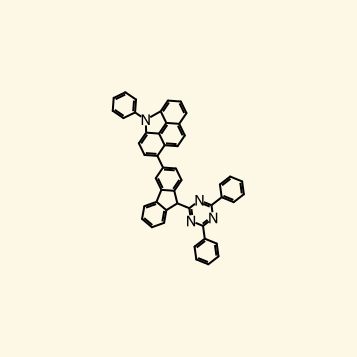 c1ccc(-c2nc(-c3ccccc3)nc(C3c4ccccc4-c4cc(-c5ccc6c7c5ccc5cccc(c57)n6-c5ccccc5)ccc43)n2)cc1